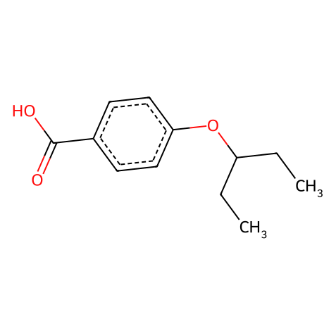 CCC(CC)Oc1ccc(C(=O)O)cc1